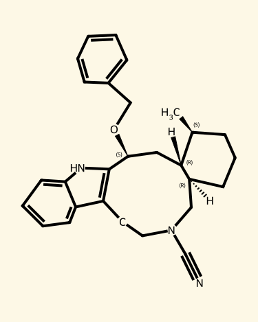 C[C@H]1CCC[C@H]2CN(C#N)CCc3c([nH]c4ccccc34)[C@@H](OCc3ccccc3)C[C@@H]21